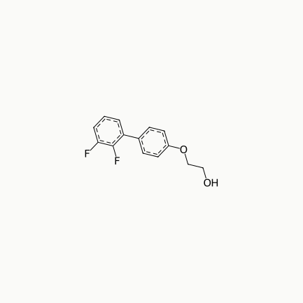 OCCOc1ccc(-c2cccc(F)c2F)cc1